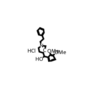 COc1cccc(C(O)C2CCN(CCc3ccccc3)CC2)c1OC.Cl